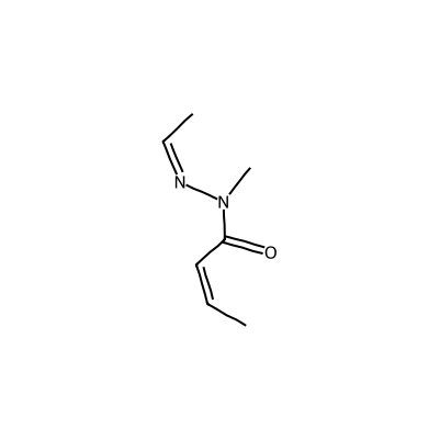 C/C=C\C(=O)N(C)/N=C\C